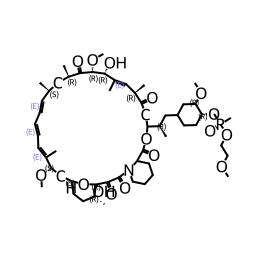 COCCOP(C)(=O)O[C@@H]1CCC(C[C@@H](C)C2CC(=O)[C@H](C)/C=C(\C)[C@@H](O)[C@@H](OC)C(=O)[C@H](C)C[C@H](C)/C=C/C=C/C=C(\C)[C@@H](OC)C[C@@H]3CC[C@@H](C)[C@@](O)(O3)C(=O)C(=O)N3CCCCC3C(=O)O2)C[C@H]1OC